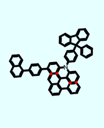 c1ccc(-c2cccc3cccc(-c4ccccc4N(c4ccc(-c5ccc(-c6cccc7ccccc67)cc5)cc4)c4ccc(C5(c6ccccc6)c6ccccc6-c6ccccc65)cc4)c23)cc1